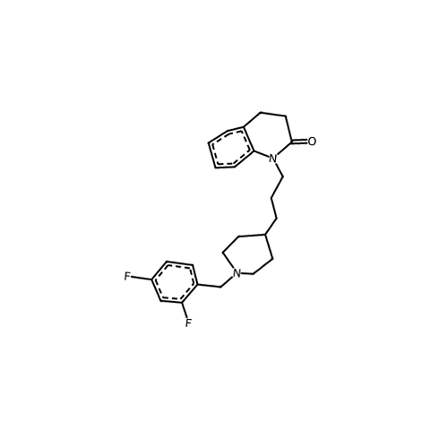 O=C1CCc2ccccc2N1CCCC1CCN(Cc2ccc(F)cc2F)CC1